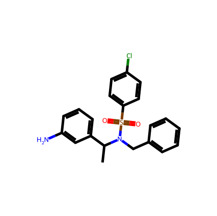 CC(c1cccc(N)c1)N(Cc1ccccc1)S(=O)(=O)c1ccc(Cl)cc1